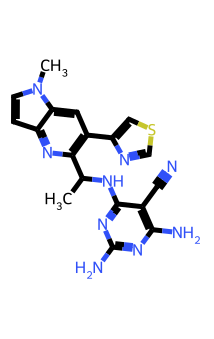 CC(Nc1nc(N)nc(N)c1C#N)c1nc2ccn(C)c2cc1-c1cscn1